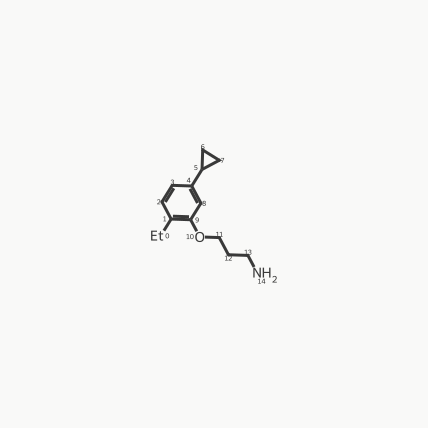 CCc1ccc(C2CC2)cc1OCCCN